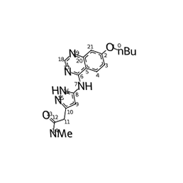 CCCCOc1ccc2c(Nc3cc(CC(=O)NC)n[nH]3)ncnc2c1